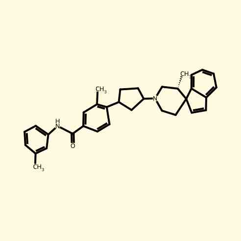 Cc1cccc(NC(=O)c2ccc(C3CCC(N4CCC5(C=Cc6ccccc65)[C@@H](C)C4)C3)c(C)c2)c1